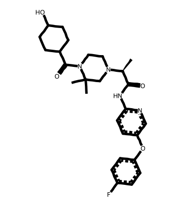 C[C@@H](C(=O)Nc1ccc(Oc2ccc(F)cc2)cn1)N1CCN(C(=O)C2CCC(O)CC2)C(C)(C)C1